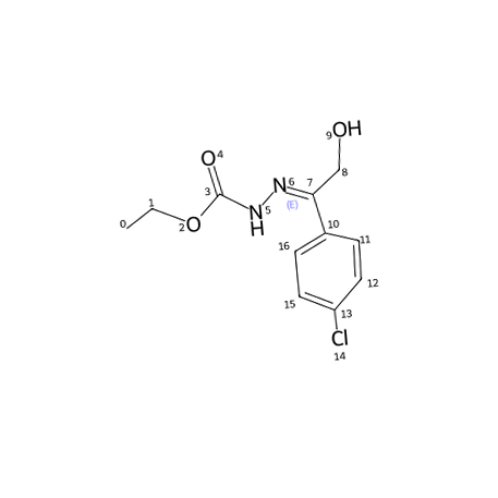 CCOC(=O)N/N=C(/CO)c1ccc(Cl)cc1